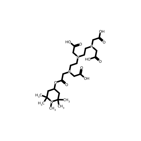 CN1C(C)(C)CC(OC(=O)CN(CCN(CCN(CC(=O)O)CC(=O)O)CC(=O)O)CC(=O)O)CC1(C)C